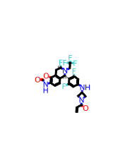 C=CC(=O)N1CC(Nc2cc(F)c([C@@H]3c4ccc5[nH]c(=O)oc5c4C[C@@H](F)N3CC(F)(F)F)c(F)c2)C1